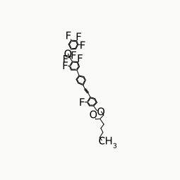 CCCCCC1COC(c2ccc(C#Cc3ccc(-c4cc(F)c(C(F)(F)Oc5cc(F)c(F)c(F)c5)c(F)c4)cc3)c(F)c2)OC1